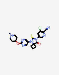 CN1CCC(Oc2ncc(N3C(=S)N(c4cnc(C#N)c(Cl)c4)C(=O)C34CCC4)cn2)CC1